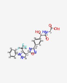 O=C(O)CNC(=O)C(O)c1ccc(-c2noc(-c3cnn(-c4ccccc4)c3C(F)(F)F)n2)cc1